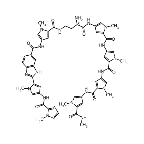 CNC(=O)c1cc(NC(=O)c2cc(NC(=O)c3cc(NC(=O)c4cc(NC(=O)[C@H](N)CCNC(=O)c5cc(NC(=O)c6ccc7nc(-c8cc(NC(=O)c9nccn9C)cn8C)[nH]c7c6)cn5C)cn4C)cn3C)cn2C)cn1C